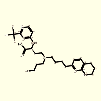 O=C(O)[C@H](CCN(CCCF)CCCCc1ccc2c(n1)NCCC2)Nc1ccnc(C(F)(F)F)n1